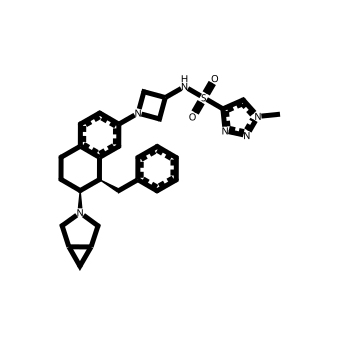 Cn1cc(S(=O)(=O)NC2CN(c3ccc4c(c3)[C@@H](Cc3ccccc3)[C@@H](N3CC5CC5C3)CC4)C2)nn1